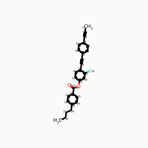 CC#Cc1ccc(C#Cc2ccc(OC(=O)c3ccc(CCCC)cc3)cc2F)cc1